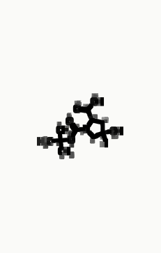 CC(C)(C)OC(=O)N1C[C@@](O)(I)C[C@@H]1C(=O)O